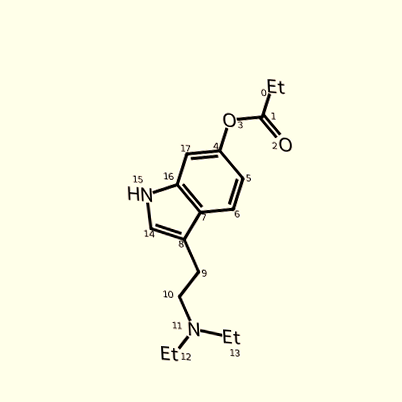 CCC(=O)Oc1ccc2c(CCN(CC)CC)c[nH]c2c1